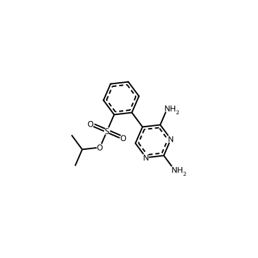 CC(C)OS(=O)(=O)c1ccccc1-c1cnc(N)nc1N